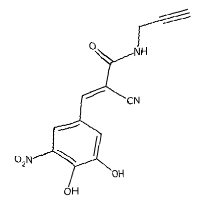 C#CCNC(=O)/C(C#N)=C/c1cc(O)c(O)c([N+](=O)[O-])c1